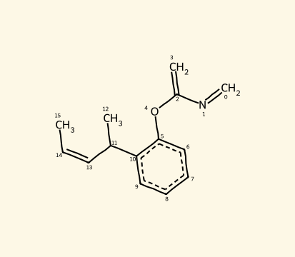 C=NC(=C)Oc1ccccc1C(C)/C=C\C